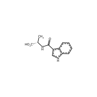 C[C@H](NC(=O)c1c[nH]c2ccccc12)C(=O)O